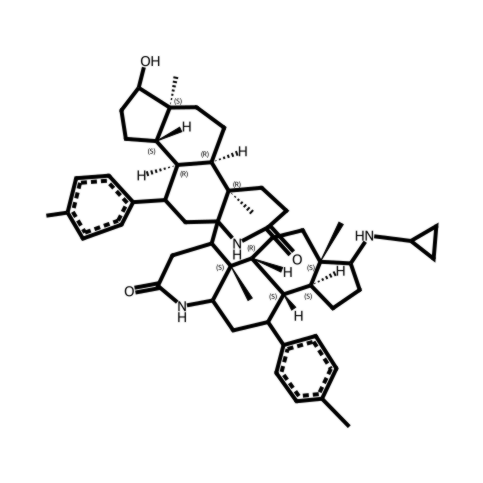 Cc1ccc(C2CC3NC(=O)CC(C45CC(c6ccc(C)cc6)[C@@H]6[C@@H](CC[C@]7(C)C(O)CC[C@@H]67)[C@@]4(C)CCC(=O)N5)[C@]3(C)[C@@H]3CC[C@]4(C)C(NC5CC5)CC[C@H]4[C@H]23)cc1